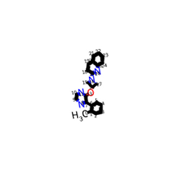 Cc1ccccc1-c1nccnc1OC1CN(c2ccc3ccccc3n2)C1